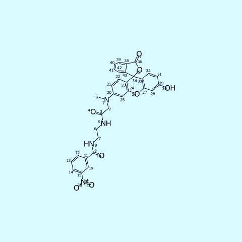 CN(CC(=O)NCCNC(=O)c1cccc([N+](=O)[O-])c1)c1ccc2c(c1)Oc1cc(O)ccc1C21OC(=O)c2ccccc21